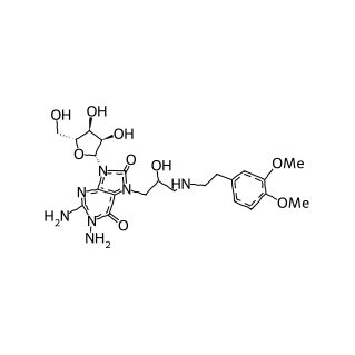 COc1ccc(CCNCC(O)Cn2c(=O)n([C@@H]3O[C@H](CO)[C@@H](O)[C@H]3O)c3nc(N)n(N)c(=O)c32)cc1OC